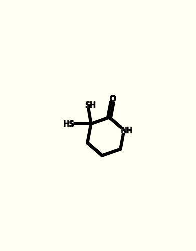 O=C1NCCCC1(S)S